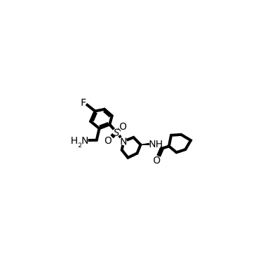 NCc1cc(F)ccc1S(=O)(=O)N1CCC[C@H](NC(=O)C2CCCCC2)C1